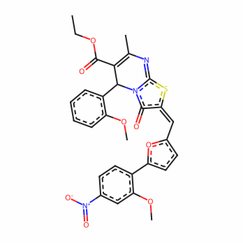 CCOC(=O)C1=C(C)N=c2s/c(=C/c3ccc(-c4ccc([N+](=O)[O-])cc4OC)o3)c(=O)n2C1c1ccccc1OC